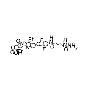 CCc1c2c(nc3ccc(OCc4c(F)cc(NC(=O)CCCCNC(N)=O)cc4F)cc13)-c1cc3c(c(=O)n1C2)COC(=O)[C@]3(O)CC